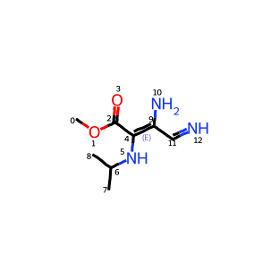 COC(=O)/C(NC(C)C)=C(\N)C=N